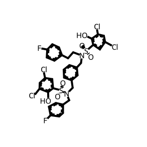 O=S(=O)(c1cc(Cl)cc(Cl)c1O)N(CCc1ccc(F)cc1)Cc1cccc(CN(Cc2ccc(F)cc2)S(=O)(=O)c2cc(Cl)cc(Cl)c2O)c1